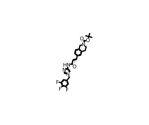 CC(C)(C)OC(=O)N1CCc2cc(/C=C/C(=O)Nc3cn(Cc4cc(F)c(F)c(F)c4)cn3)ccc2C1